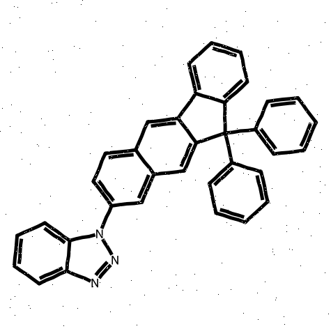 c1ccc(C2(c3ccccc3)c3ccccc3-c3cc4ccc(-n5nnc6ccccc65)cc4cc32)cc1